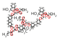 C=CC(=O)OCC(COc1ccc(Cc2ccc(OCC(COC(=O)C=C)OC(=O)C3CC(C(=O)OC(COC(=O)C=C)COc4ccc(Cc5ccc(OCC(COC(=O)C=C)OC(=O)C6CCCCC6C(=O)O)cc5)cc4)C(C(=O)O)CC3C(=O)O)cc2)cc1)OC(=O)C1CCCCC1C(=O)O